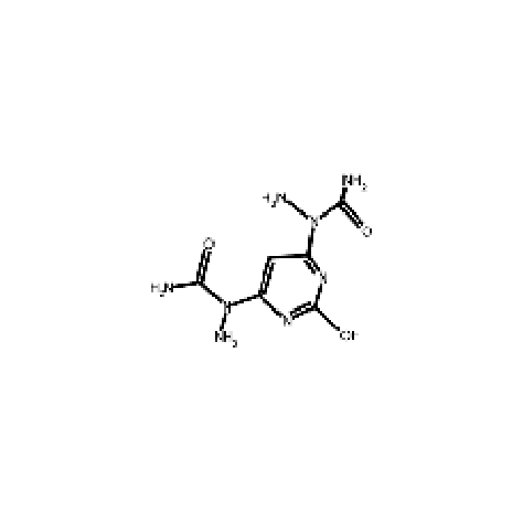 NC(=O)N(N)c1cc(N(N)C(N)=O)nc(O)n1